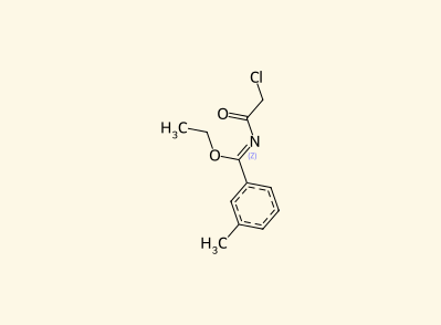 CCO/C(=N\C(=O)CCl)c1cccc(C)c1